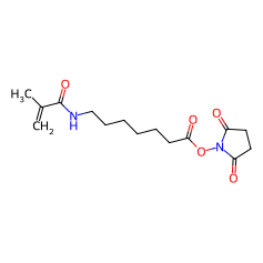 C=C(C)C(=O)NCCCCCCC(=O)ON1C(=O)CCC1=O